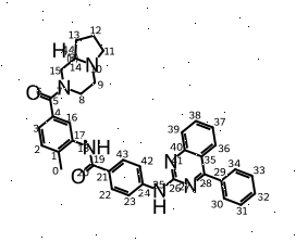 Cc1ccc(C(=O)N2CCN3CCC[C@@H]3C2)cc1NC(=O)c1ccc(Nc2nc(-c3ccccc3)c3ccccc3n2)cc1